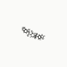 O=C(Nc1ccc2scnc2c1)C1CCN(S(=O)(=O)c2ccc3c(c2)CCO3)CC1F